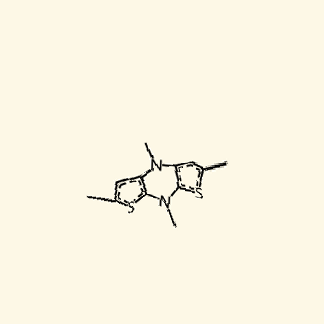 Cc1cc2c(s1)N(C)c1sc(C)cc1N2C